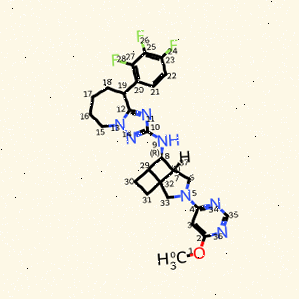 COc1cc(N2C[C@H]3[C@H](Nc4nc5n(n4)CCCCC5c4ccc(F)c(F)c4F)C4CCC43C2)ncn1